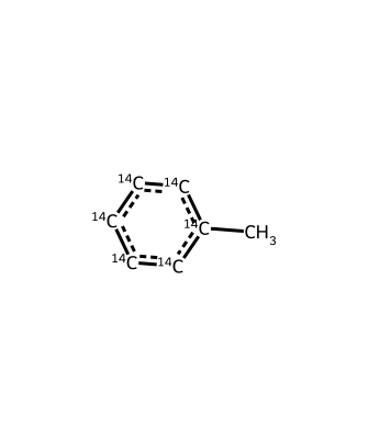 C[14c]1[14cH][14cH][14cH][14cH][14cH]1